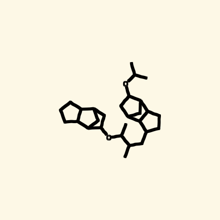 CC(C)OC1CC2CC1C1CCC(CC(C)C(C)OC3CC4CC3C3CCCC43)C21